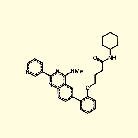 CNc1nc(-c2cccnc2)nc2ccc(-c3ccccc3OCCCC(=O)NC3CCCCC3)cc12